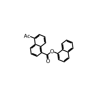 CC(=O)c1cccc2c(C(=O)Oc3cccc4ccccc34)cccc12